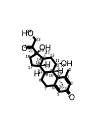 CC1=CC(=O)C=C2CC[C@@H]3[C@H]([C@@H](O)C[C@@]4(C)[C@H]3CC[C@]4(O)C(=O)CO)[C@@]12C